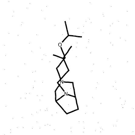 CC(C)CCN1C2CCC1CN(CCOC(C)C)C2